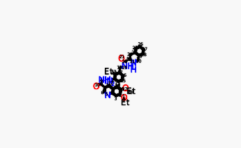 CCOc1cc2ncc(C(N)=O)c(Nc3cccc(CNC(=O)[C@@H]4Cc5ccccc5CN4)c3CC)c2cc1OCC